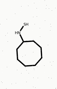 SNC1CCCCCCC1